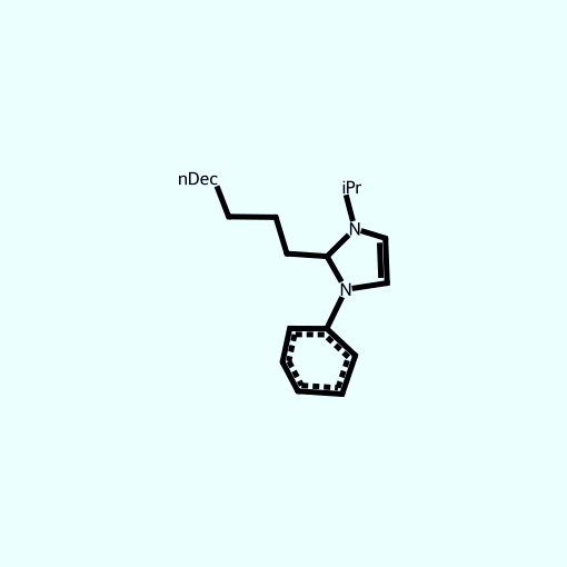 CCCCCCCCCCCCCC1N(c2ccccc2)C=CN1C(C)C